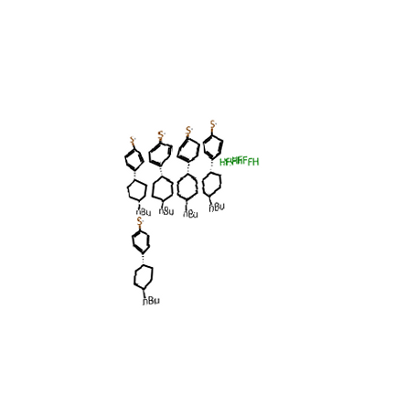 CCCC[C@H]1CC[C@H](c2ccc([S])cc2)CC1.CCCC[C@H]1CC[C@H](c2ccc([S])cc2)CC1.CCCC[C@H]1CC[C@H](c2ccc([S])cc2)CC1.CCCC[C@H]1CC[C@H](c2ccc([S])cc2)CC1.CCCC[C@H]1CC[C@H](c2ccc([S])cc2)CC1.F.F.F.F.F